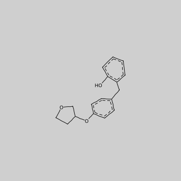 Oc1ccccc1Cc1ccc(OC2CCOC2)cc1